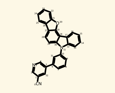 N#Cc1cncc(-c2cccc(-n3c4ccccc4c4c5oc6ccccc6c5ccc43)c2)c1